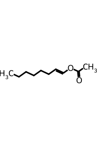 CCCCCC/C=C/OC(C)=O